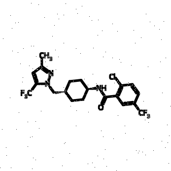 Cc1cc(C(F)(F)F)n(C[C@H]2CC[C@H](NC(=O)c3cc(C(F)(F)F)ccc3Cl)CC2)n1